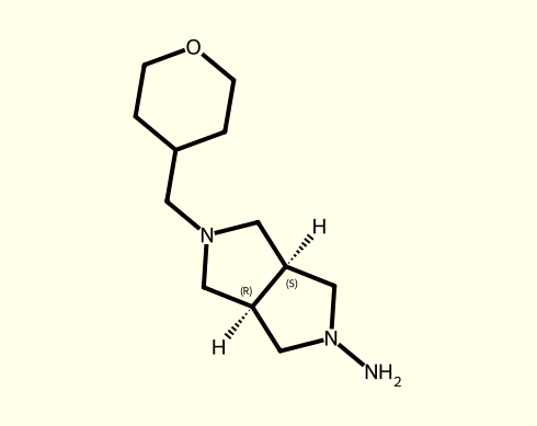 NN1C[C@@H]2CN(CC3CCOCC3)C[C@@H]2C1